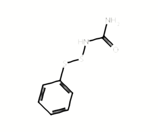 NC(=O)NSSc1ccccc1